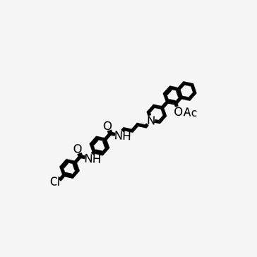 CC(=O)Oc1c(C2CCN(CCCCNC(=O)c3ccc(NC(=O)c4ccc(Cl)cc4)cc3)CC2)ccc2c1CCCC2